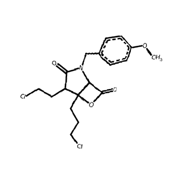 COc1ccc(CN2C(=O)C(CCCl)C3(CCCCl)OC(=O)C23)cc1